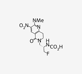 CNc1nc2c(cc1[N+](=O)[O-])C(=O)N(C[C@@H](CF)NC(=O)O)CC2